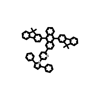 CC1(C)c2ccccc2-c2ccc(-c3c4ccccc4c(-c4ccc5c(c4)C(C)(C)c4ccccc4-5)c4cc(-c5ccc(-n6c(-c7ccccc7)ccc6-c6ccccc6)cn5)ccc34)cc21